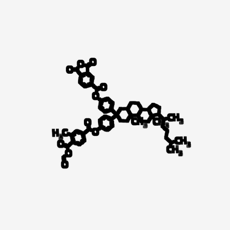 Cc1cc(C(=O)Oc2ccc(C3(c4ccc(OC(=O)c5ccc6c(c5)C(=O)OC6=O)cc4)CCC4(C)C(CCC5C4CCC4(C)C(C(C)CCCC(C)C)CCC54)C3)cc2)ccc1C(=O)OC=O